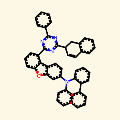 C1=CC(c2nc(-c3ccccc3)nc(-c3cccc4oc5cc(N(c6ccccc6)c6ccccc6-c6ccccc6)ccc5c34)n2)Cc2ccccc21